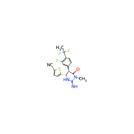 CN1C(=N)N[C@H](c2ccc(C#N)s2)[C@@H](c2ccc(C(C)(F)F)c(F)c2)C1=O